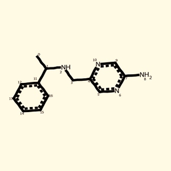 CC(NCc1cnc(N)cn1)c1ccccc1